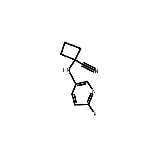 N#CC1(Nc2ccc(F)nc2)CCC1